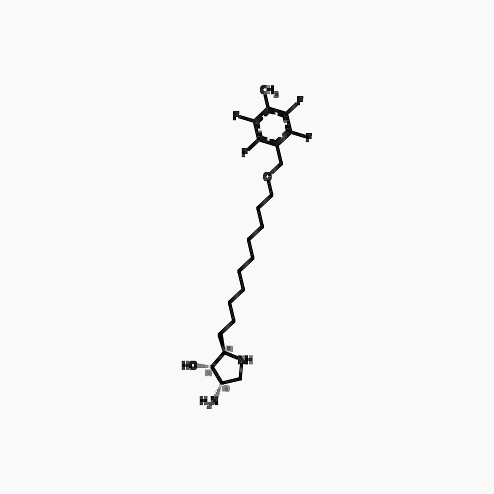 Cc1c(F)c(F)c(COCCCCCCCCCC[C@H]2NC[C@H](N)[C@@H]2O)c(F)c1F